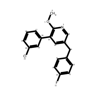 COc1ncc(Cc2ccc(F)cc2)cc1-c1cccc(Cl)c1